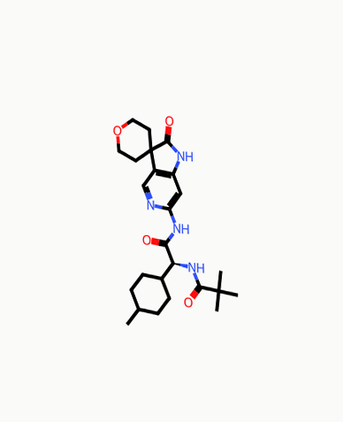 CC1CCC([C@H](NC(=O)C(C)(C)C)C(=O)Nc2cc3c(cn2)C2(CCOCC2)C(=O)N3)CC1